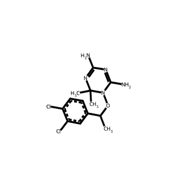 CC(ON1C(N)=NC(N)=NC1(C)C)c1ccc(Cl)c(Cl)c1